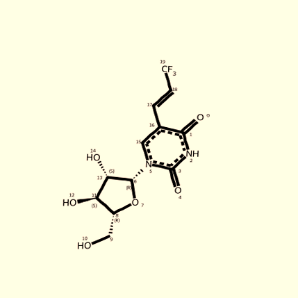 O=c1[nH]c(=O)n([C@@H]2O[C@H](CO)[C@@H](O)[C@@H]2O)cc1C=CC(F)(F)F